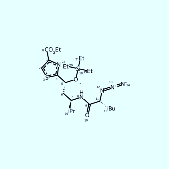 CCOC(=O)c1csc([C@@H](C[C@@H](NC(=O)C(N=[N+]=[N-])[C@@H](C)CC)C(C)C)O[Si](CC)(CC)CC)n1